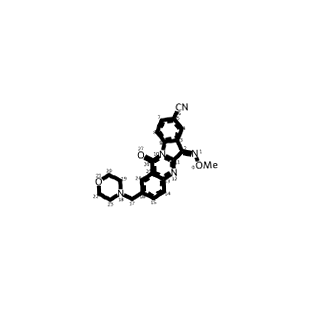 CO/N=C1/c2cc(C#N)ccc2-n2c1nc1ccc(CN3CCOCC3)cc1c2=O